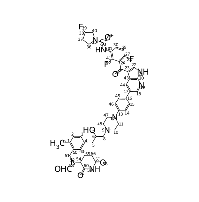 Cc1ccc(CC(O)CN2CCN(c3ccc(-c4cnc5[nH]cc(C(=O)c6c(F)ccc(N[S+]([O-])N7CCC(F)C7)c6F)c5c4)cc3)CC2)cc1CN(C=O)C1CCC(=O)NC1=O